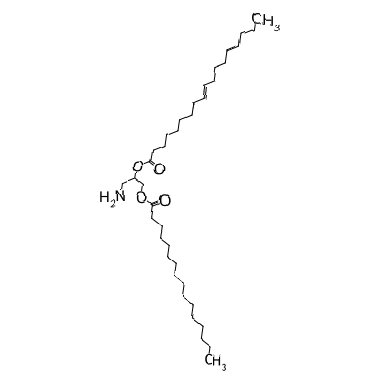 CCCCCCCCC=CCCCCCCCC(=O)OC(CN)COC(=O)CCCCCCCCCCCCCCC